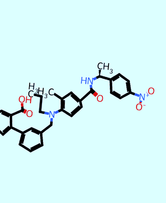 CCCN(Cc1cccc(-c2ccccc2C(=O)O)c1)c1ccc(C(=O)N[C@@H](C)c2ccc([N+](=O)[O-])cc2)cc1C